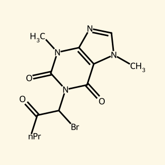 CCCC(=O)C(Br)n1c(=O)c2c(ncn2C)n(C)c1=O